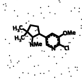 CNC1C(c2cnc(Cl)c(OC)c2)CCC1(C)C